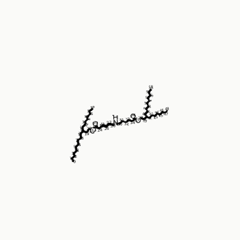 CCCCCCCCCCC(CCCCCCCC)CCOC(=O)CCCCCNCCCCCC(=O)OCCC(CCCCCCCC)CCCCCCCCCC